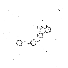 Nc1ncccc1-c1cc(Cc2ccc(CCc3ccccc3)cc2)no1